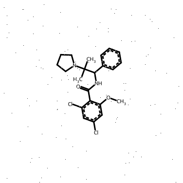 COc1cc(Cl)cc(Cl)c1C(=O)NC(c1ccccc1)C(C)(C)N1CCCC1